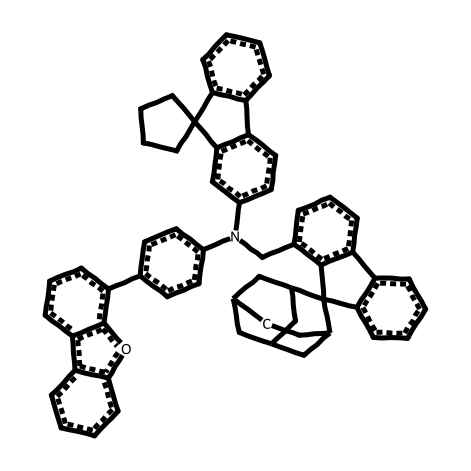 c1ccc2c(c1)-c1ccc(N(Cc3cccc4c3C3(c5ccccc5-4)C4CCC5CC(C4)CC3C5)c3ccc(-c4cccc5c4oc4ccccc45)cc3)cc1C21CCCC1